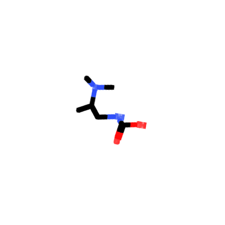 CC(CNC(=O)O)N(C)C